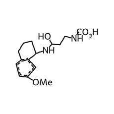 COc1ccc2c(c1)C(NC(O)CCNC(=O)O)CCC2